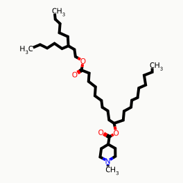 CCCCCCCCCCC(CCCCCCCCC(=O)OCCC(CCCCC)CCCCC)OC(=O)C1CCN(C)CC1